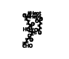 CCCCCCCOC(=O)CCCC(=O)OCC(CO)(COC(=O)CCCC=O)COC(=O)CCCC(=O)OCCCCCCC